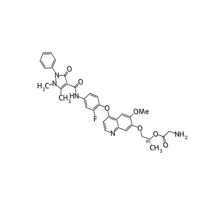 COc1cc2c(Oc3ccc(NC(=O)c4c(C)n(C)n(-c5ccccc5)c4=O)cc3F)ccnc2cc1OC[C@@H](C)OC(=O)CN